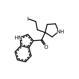 O=C(c1c[nH]c2ccccc12)C1(CCI)CCNC1